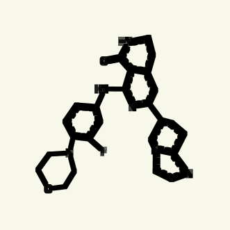 O=c1[nH]ccc2cc(-c3ccc4nccn4c3)nc(Nc3ccc(N4CCOCC4)c(F)c3)c12